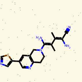 CC(=C(/N)C#N)/C(C)=C(\N)N1CCc2ncc(-c3cncs3)cc2C1